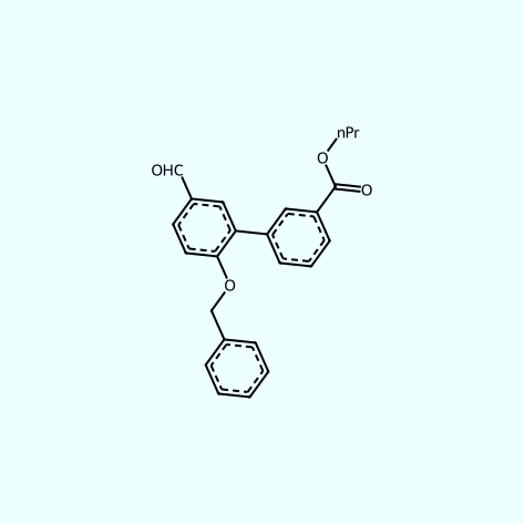 CCCOC(=O)c1cccc(-c2cc(C=O)ccc2OCc2ccccc2)c1